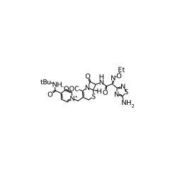 CCON=C(C(=O)NC1C(=O)N2C(C(=O)[O-])=C(C[n+]3ccc(C(=O)NC(C)(C)C)cc3)CS[C@@H]12)c1nsc(N)n1